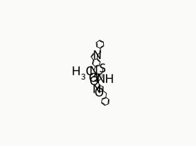 CN1C(=O)[C@@H](NC(=O)c2cc(Cc3ccccc3)on2)CSc2cc3c(ccn3Cc3ccccc3)cc21